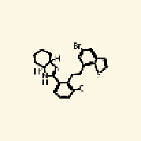 Clc1cccc(C2=N[C@H]3CCCC[C@@H]3N2)c1CCc1cc(Br)cc2ccsc12